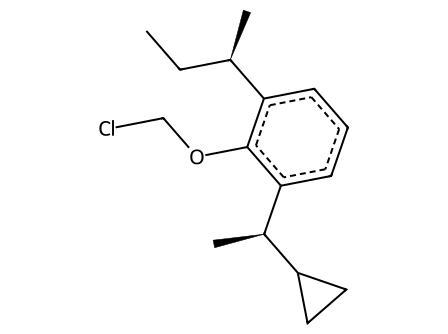 CC[C@@H](C)c1cccc([C@H](C)C2CC2)c1OCCl